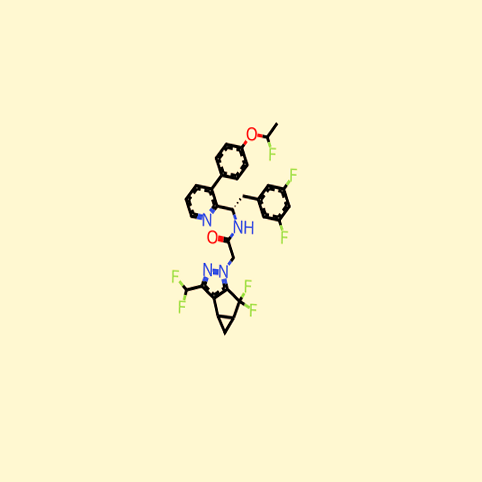 CC(F)Oc1ccc(-c2cccnc2[C@H](Cc2cc(F)cc(F)c2)NC(=O)Cn2nc(C(F)F)c3c2C(F)(F)C2CC32)cc1